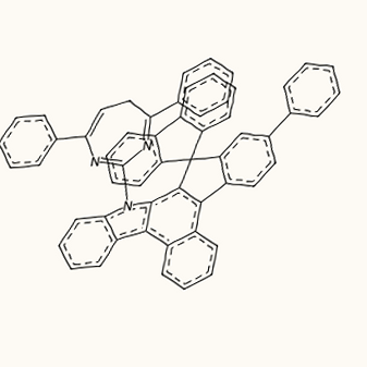 C1=C(c2ccccc2)N=C(n2c3ccccc3c3c4ccccc4c4c(c32)C2(c3ccccc3-c3ccccc32)c2cc(-c3ccccc3)ccc2-4)N=C(c2ccccc2)C1